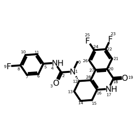 CN(C(=O)Nc1ccc(F)cc1)[C@H]1CCCc2[nH]c(=O)c3cc(F)c(F)cc3c21